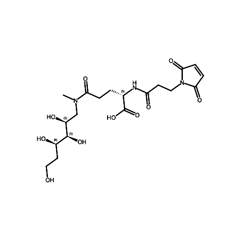 CN(C[C@H](O)[C@@H](O)[C@H](O)CCO)C(=O)CC[C@H](NC(=O)CCN1C(=O)C=CC1=O)C(=O)O